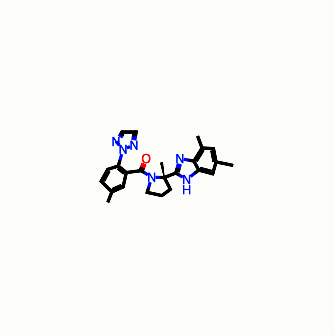 Cc1ccc(-n2nccn2)c(C(=O)N2CCC[C@@]2(C)c2nc3c(C)cc(C)cc3[nH]2)c1